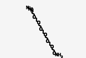 [N-]=[N+]=NCCOCCOCCOCCOCCOCCOCCON